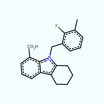 Cc1cccc(Cn2c3c(c4cccc(C(=O)O)c42)CCCC3)c1F